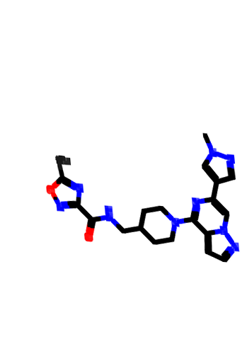 Cn1cc(-c2cn3nccc3c(N3CCC(CNC(=O)c4noc(C(C)(C)C)n4)CC3)n2)cn1